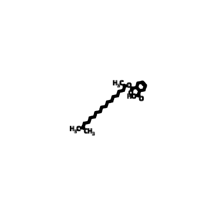 CC(C)CCCCCCCCCCCCCCC(C)OC(=O)C1CC=CCC1C(=O)O